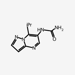 CC(C)c1c(NC(N)=O)cnc2ccnn12